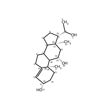 CC(O)[C@H]1CCC2C3CCC4=C[C@@H](O)CC[C@]4(C)C3[C@@H](O)C[C@@]21C